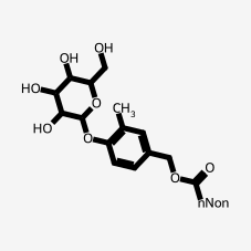 CCCCCCCCCC(=O)OCc1ccc(OC2OC(CO)C(O)C(O)C2O)c(C)c1